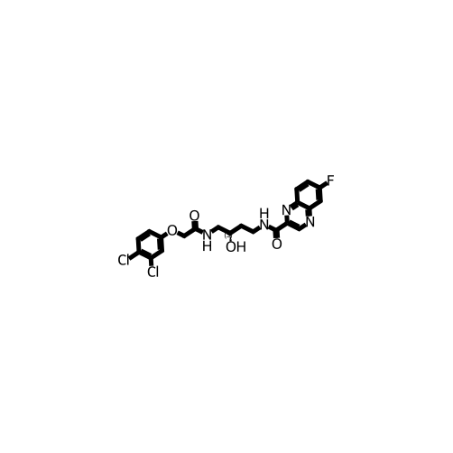 O=C(COc1ccc(Cl)c(Cl)c1)NC[C@@H](O)CCNC(=O)c1cnc2cc(F)ccc2n1